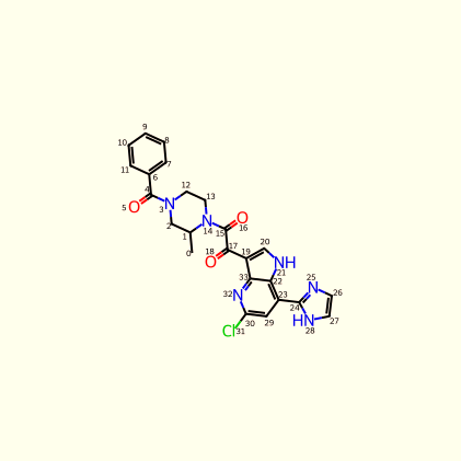 CC1CN(C(=O)c2ccccc2)CCN1C(=O)C(=O)c1c[nH]c2c(-c3ncc[nH]3)cc(Cl)nc12